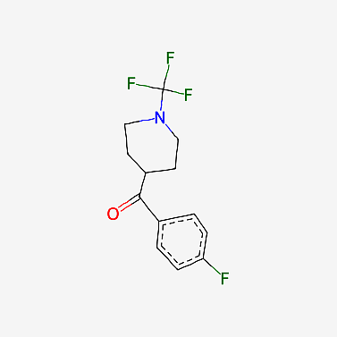 O=C(c1ccc(F)cc1)C1CCN(C(F)(F)F)CC1